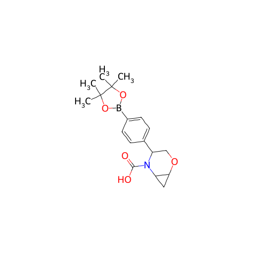 CC1(C)OB(c2ccc(C3COC4CC4N3C(=O)O)cc2)OC1(C)C